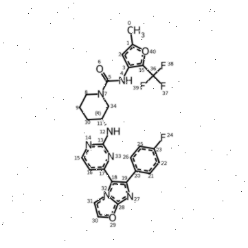 Cc1cc(NC(=O)N2CCC[C@@H](Nc3nccc(-c4c(-c5ccc(F)cc5)nc5occn45)n3)C2)c(C(F)(F)F)o1